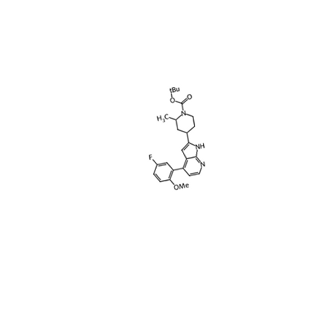 COc1ccc(F)cc1-c1ccnc2[nH]c(C3CCN(C(=O)OC(C)(C)C)C(C)C3)cc12